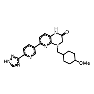 COC1CCC(CN2CC(=O)Nc3ccc(-c4ccc(-c5nc[nH]n5)nc4)nc32)CC1